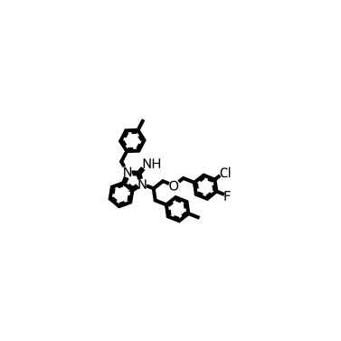 Cc1ccc(CC(COCc2ccc(F)c(Cl)c2)n2c(=N)n(Cc3ccc(C)cc3)c3ccccc32)cc1